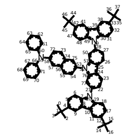 CC(C)(C)c1ccc2c(c1)c1cc(C(C)(C)C)ccc1n2-c1ccc2c3ccc(-n4c5ccc(C(C)(C)C)cc5c5cc(C(C)(C)C)ccc54)cc3n(-c3ccc4cc(N(c5ccccc5)c5ccccc5)ccc4c3)c2c1